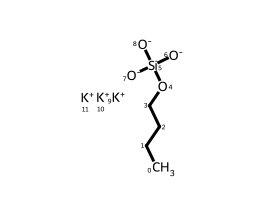 CCCCO[Si]([O-])([O-])[O-].[K+].[K+].[K+]